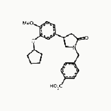 COc1ccc(C2CC(=O)N(Cc3ccc(C(=O)O)cc3)C2)cc1OC1CCCC1